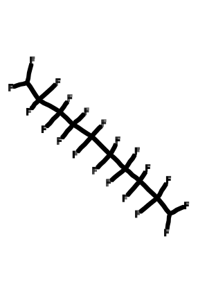 F[C](F)C(F)(F)C(F)(F)C(F)(F)C(F)(F)C(F)(F)C(F)(F)C(F)(F)C(F)(F)[C](F)F